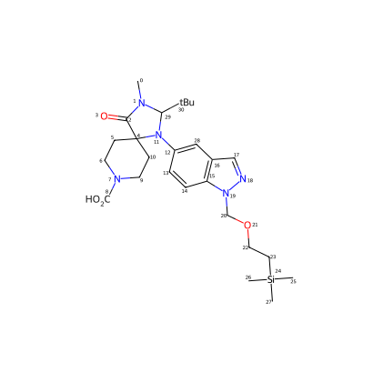 CN1C(=O)C2(CCN(C(=O)O)CC2)N(c2ccc3c(cnn3COCC[Si](C)(C)C)c2)C1C(C)(C)C